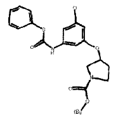 CC(C)(C)OC(=O)N1CCC(Oc2cc(Cl)cc(NC(=O)Oc3ccccc3)c2)C1